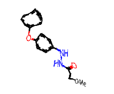 COCC(=O)NNc1ccc(Oc2ccccc2)cc1